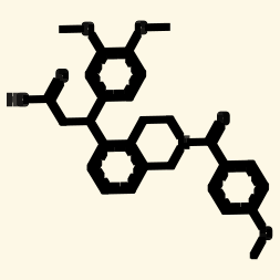 COc1ccc(C(=O)N2CCc3c(cccc3C(CC(=O)O)c3ccc(OC)c(OC)c3)C2)cc1